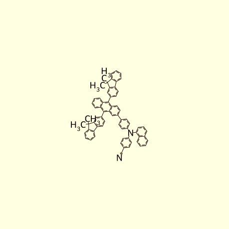 CC1(C)c2ccccc2-c2ccc(-c3c4ccccc4c(-c4ccc5c(c4)C(C)(C)c4ccccc4-5)c4cc(-c5ccc(N(c6ccc(C#N)cc6)c6cccc7ccccc67)cc5)ccc34)cc21